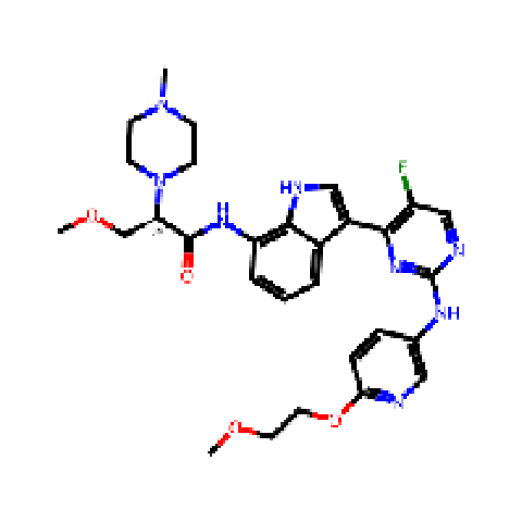 COCCOc1ccc(Nc2ncc(F)c(-c3c[nH]c4c(NC(=O)[C@@H](COC)N5CCN(C)CC5)cccc34)n2)cn1